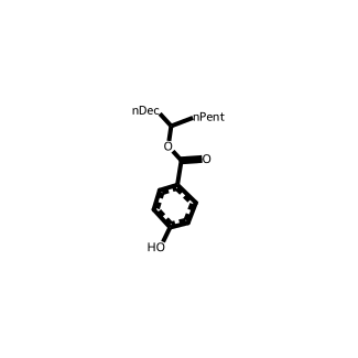 CCCCCCCCCCC(CCCCC)OC(=O)c1ccc(O)cc1